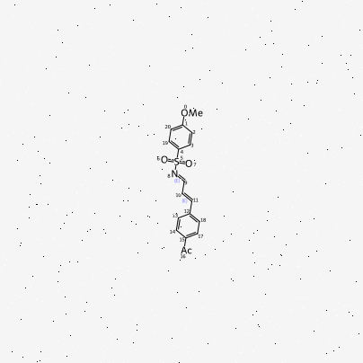 COc1ccc(S(=O)(=O)/N=C/C=C/c2ccc(C(C)=O)cc2)cc1